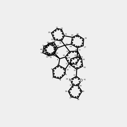 c1ccc(C23c4ccccc4-c4cccc(c42)C2(c4ccccc4-c4cccc(-c5ccc(-c6nc7ccccc7o6)cc5)c42)c2ccccc23)cc1